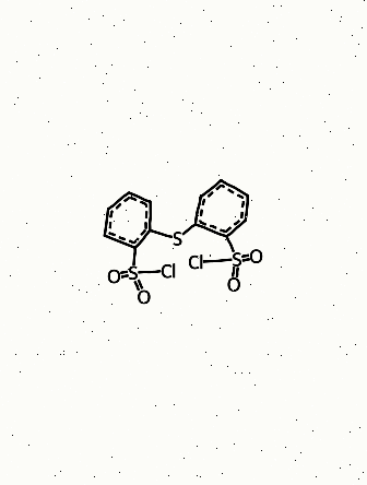 O=S(=O)(Cl)c1ccccc1Sc1ccccc1S(=O)(=O)Cl